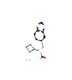 O=C(O)C(=O)N(Cc1ccc2scnc2c1)C1CCC1